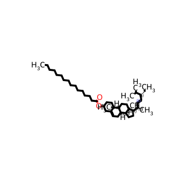 CCCCCCCCCCCCCCCC(=O)O[C@H]1CC[C@@]2(C)C(=CC[C@H]3[C@@H]4CC[C@H]([C@H](C)/C=C/[C@@H](CC)C(C)C)[C@@]4(C)CC[C@@H]32)C1